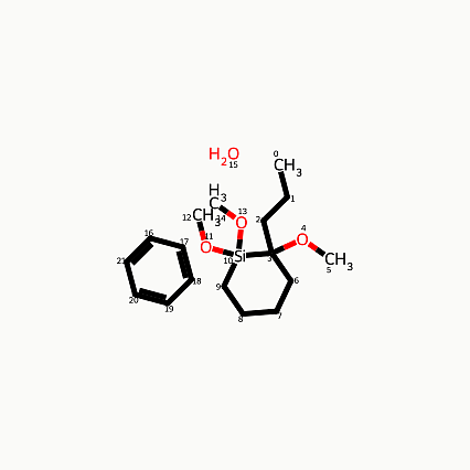 CCCC1(OC)CCCC[Si]1(OC)OC.O.c1ccccc1